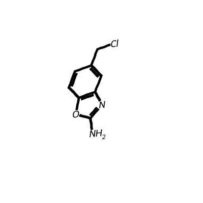 Nc1nc2cc(CCl)ccc2o1